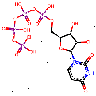 O=c1ccn([C@H]2O[C@@H](COP(=O)(O)OP(=O)(O)OP(=O)(O)OP(=O)(O)O)C(O)C2O)c(=O)[nH]1